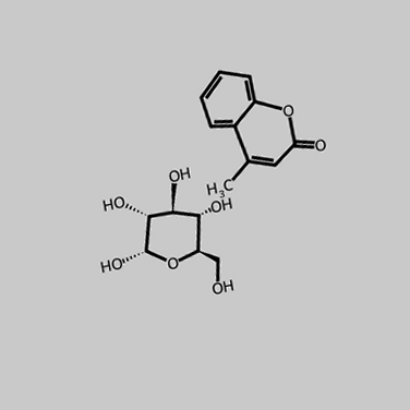 Cc1cc(=O)oc2ccccc12.OC[C@H]1O[C@H](O)[C@H](O)[C@@H](O)[C@@H]1O